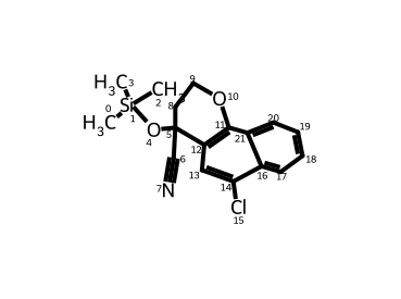 C[Si](C)(C)OC1(C#N)CCOc2c1cc(Cl)c1ccccc21